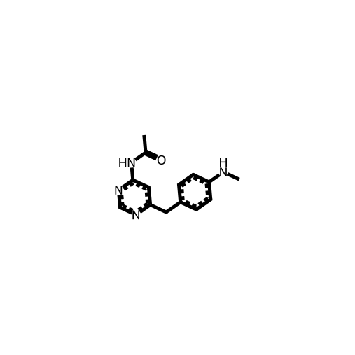 CNc1ccc(Cc2cc(NC(C)=O)ncn2)cc1